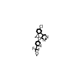 COCC(F)(F)c1ccc(Oc2ncncc2-c2cc(Cl)ccc2OC)cn1